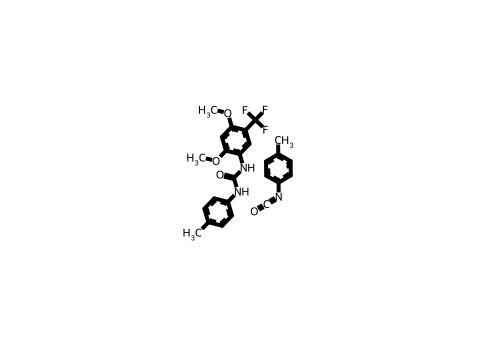 COc1cc(OC)c(C(F)(F)F)cc1NC(=O)Nc1ccc(C)cc1.Cc1ccc(N=C=O)cc1